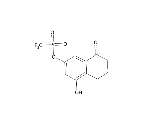 O=C1CCCc2c(O)cc(OS(=O)(=O)C(F)(F)F)cc21